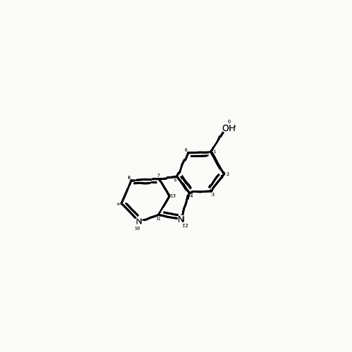 Oc1ccc2c(c1)C1=CC=NC(=N2)C1